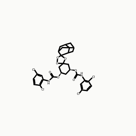 O=C(Nc1cc(Cl)ccc1Cl)O[C@@H]1C[C@H](OC(=O)Nc2cc(Cl)ccc2Cl)CC2(C1)OOC1(O2)C2CC3CC(C2)CC1C3